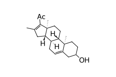 CC(=O)C1=C(C)C[C@H]2[C@@H]3CC=C4CC(O)CC[C@]4(C)[C@H]3CC[C@]12C